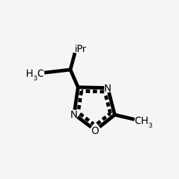 Cc1nc(C(C)C(C)C)no1